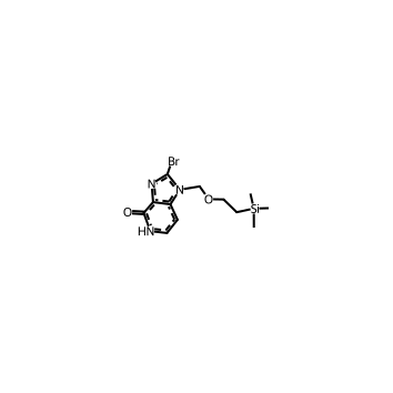 C[Si](C)(C)CCOCn1c(Br)nc2c(=O)[nH]ccc21